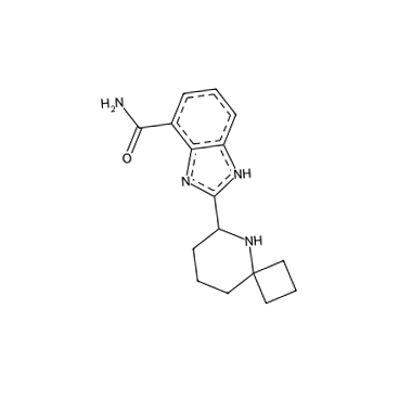 NC(=O)c1cccc2[nH]c(C3CCCC4(CCC4)N3)nc12